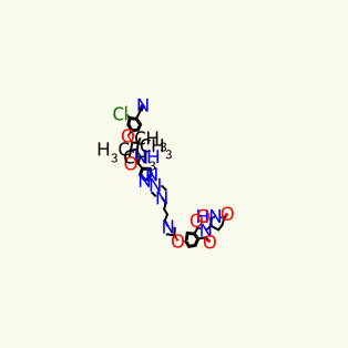 CC1(C)[C@H](NC(=O)c2cnc(N3CCN(CCCCN4CC(Oc5ccc6c(c5)C(=O)N(C5CCC(=O)NC5=O)C6=O)C4)CC3)nc2)C(C)(C)[C@H]1Oc1ccc(C#N)c(Cl)c1